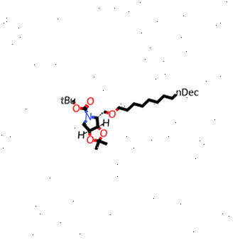 CCCCCCCCCCCCCCCCCCOC[C@@H]1[C@H]2OC(C)(C)O[C@H]2CN1C(=O)OC(C)(C)C